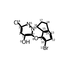 Oc1cc(Cl)nnc1Oc1c(Br)ccc2c1CCC2